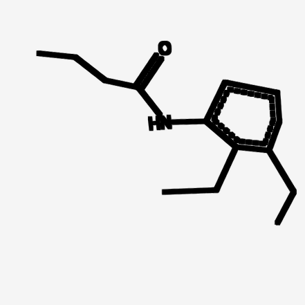 CCCC(=O)Nc1cccc(CC)c1CC